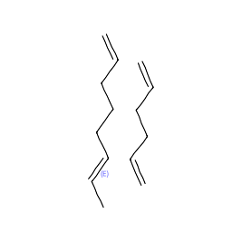 C=CCCC/C=C/C.C=CCCC=C